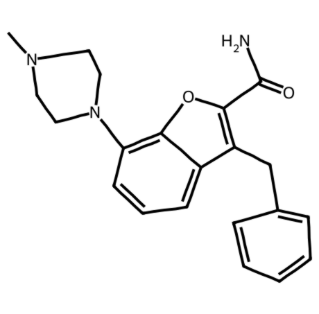 CN1CCN(c2cccc3c(Cc4ccccc4)c(C(N)=O)oc23)CC1